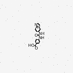 O=C(Nc1ccc(C(=O)O)cc1)Nc1ccc2nccn2c1